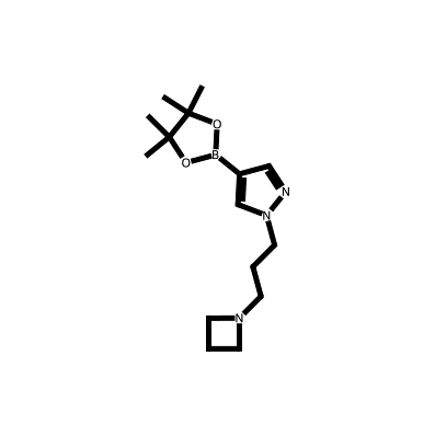 CC1(C)OB(c2cnn(CCCN3CCC3)c2)OC1(C)C